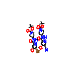 COc1cc(C(=O)NC2CCN(C(=O)OC(C)(C)C)CC2)ncc1Br.COc1cc(C(=O)NC2CCN(C(=O)OC(C)(C)C)CC2)ncc1C#N